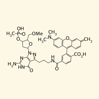 C=c1ccc2c(c1)Oc1cc(N(C)C)ccc1C=2c1cc(C(=O)NCCCc2nn(C3CC(OP(C)(=O)O)C(COC)O3)c3nc(N)[nH]c(=O)c23)ccc1C(=O)O